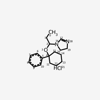 CCC(OC1(c2ccccc2)CCCCC1)N1C=NCC1.Cl